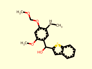 CBc1cc(C(O)c2cc3ccccc3s2)c(OC)cc1OCOC